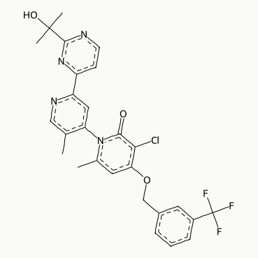 Cc1cnc(-c2ccnc(C(C)(C)O)n2)cc1-n1c(C)cc(OCc2cccc(C(F)(F)F)c2)c(Cl)c1=O